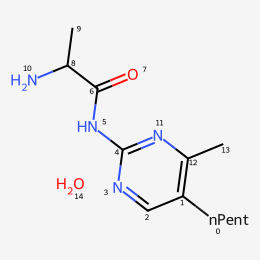 CCCCCc1cnc(NC(=O)C(C)N)nc1C.O